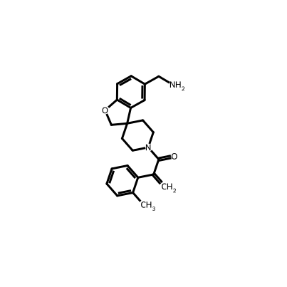 C=C(C(=O)N1CCC2(CC1)COc1ccc(CN)cc12)c1ccccc1C